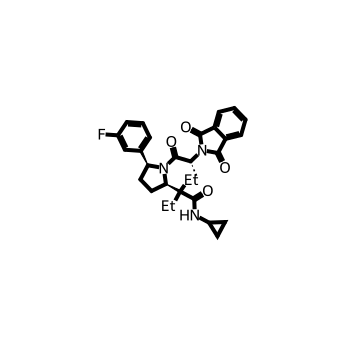 CCC(CC)(C(=O)NC1CC1)[C@H]1CC[C@@H](c2cccc(F)c2)N1C(=O)[C@@H](C)N1C(=O)c2ccccc2C1=O